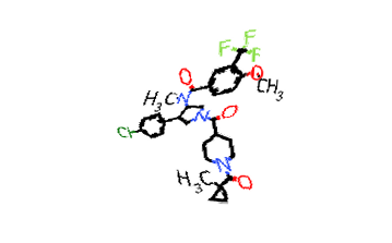 COc1ccc(C(=O)N(C)C2CN(C(=O)C3CCN(C(=O)C4(C)CC4)CC3)CC2c2ccc(Cl)cc2)cc1C(F)(F)F